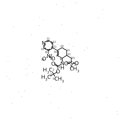 CC(C)(C)OC(=O)NC1C=C(c2ccncc2[N+](=O)[O-])CCC1CS(C)(=O)=O